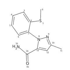 CSc1ccccc1-n1nc(C)cc1C(N)=O